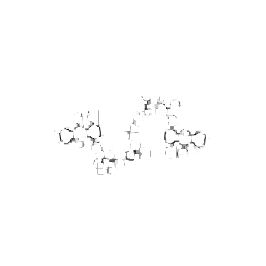 CCC1(OCC(C)(C)COCCC(C)OC(C)(CC)C(=O)COc2ccc(Cl)c3c(=O)c4ccccc4sc23)CC(OC(C)(CC)C(=O)COc2ccc(Cl)c3c(=O)c4ccccc4sc23)C1